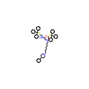 O=C(CN(CCCCCCCN1CCC(c2ccccc2)CC1)CCSC(c1ccccc1)(c1ccccc1)c1ccccc1)NCCSC(c1ccccc1)(c1ccccc1)c1ccccc1